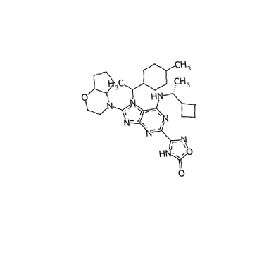 CC1CCC(C(C)n2c(N3CCOC4CCCC43)nc3nc(-c4noc(=O)[nH]4)nc(N[C@H](C)C4CCC4)c32)CC1